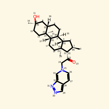 C[C@@H]1C[C@H]2[C@@H]3CC[C@H]4C[C@](C)(O)CC[C@]4(C)[C@H]3CC[C@]2(C)[C@H]1C(=O)Cn1ccc2cnnc-2c1